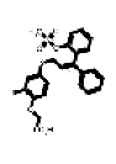 CS(=O)(=O)Oc1ccccc1/C(=C\CSc1ccc(OCC(=O)O)c(I)c1)c1ccccc1